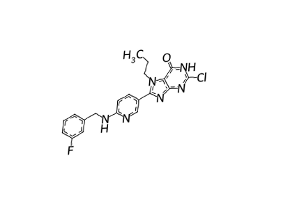 CCCn1c(-c2ccc(NCc3cccc(F)c3)nc2)nc2nc(Cl)[nH]c(=O)c21